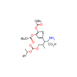 CC(C)COC(=O)Oc1ccc(C(C(C)COC(=O)OC(C)C(C)C)[C@H](N)C(=O)O)cc1OC(=O)OCC(C)C